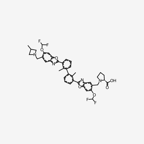 Cc1c(-c2nc3cc(CN4CC(C)C4)c(OC(F)F)cc3o2)cccc1-c1cccc(-c2nc3cc(CN4CCC[C@H]4C(=O)O)c(OC(F)F)cc3o2)c1C